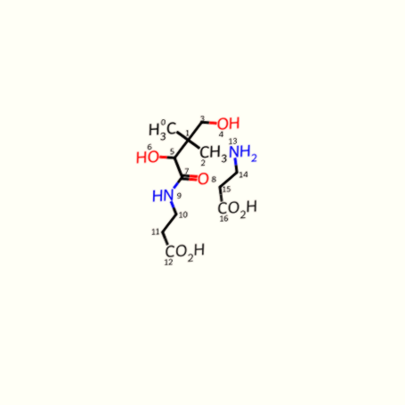 CC(C)(CO)C(O)C(=O)NCCC(=O)O.NCCC(=O)O